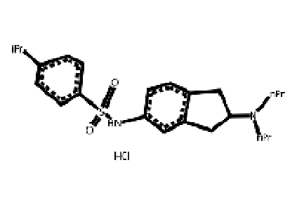 CCCN(CCC)C1Cc2ccc(NS(=O)(=O)c3ccc(C(C)C)cc3)cc2C1.Cl